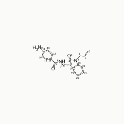 C=CCN1C(=O)/C(=N\NC(=O)c2ccc(N)cc2)c2ccccc21